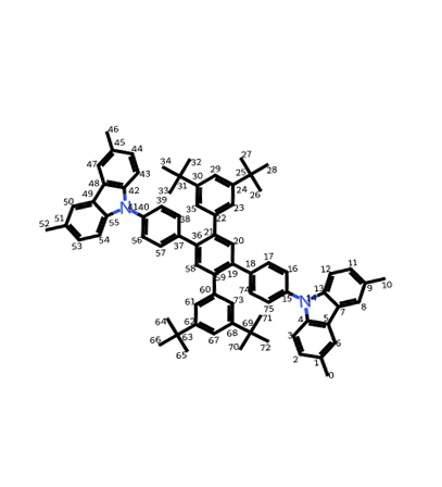 Cc1ccc2c(c1)c1cc(C)ccc1n2-c1ccc(-c2cc(-c3cc(C(C)(C)C)cc(C(C)(C)C)c3)c(-c3ccc(-n4c5ccc(C)cc5c5cc(C)ccc54)cc3)cc2-c2cc(C(C)(C)C)cc(C(C)(C)C)c2)cc1